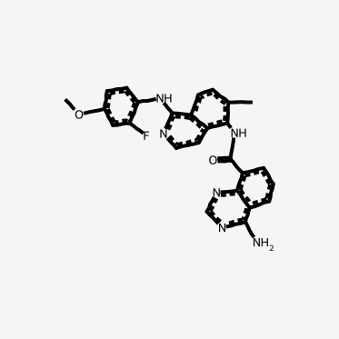 COc1ccc(Nc2nccc3c(NC(=O)c4cccc5c(N)ncnc45)c(C)ccc23)c(F)c1